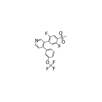 CS(=O)(=O)c1cc(F)c(-c2cnccc2-c2cccc(OC(F)(F)F)c2)cc1F